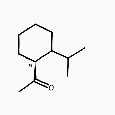 CC(=O)[C@H]1CCCCC1C(C)C